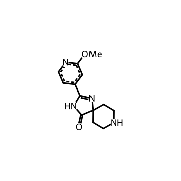 COc1cc(C2=NC3(CCNCC3)C(=O)N2)ccn1